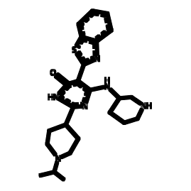 CC(C)N1CCC(c2nc(NC3CCCNC3)c(-c3nc4ccccc4s3)c(=O)[nH]2)CC1